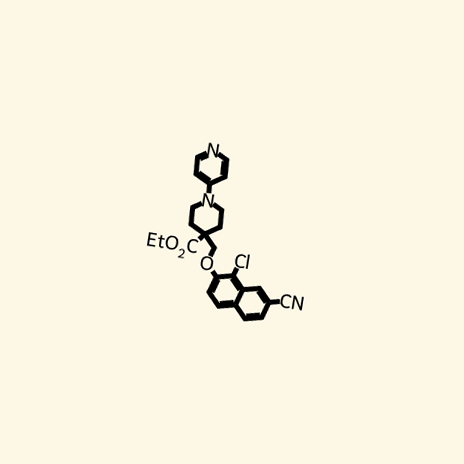 CCOC(=O)C1(COc2ccc3ccc(C#N)cc3c2Cl)CCN(c2ccncc2)CC1